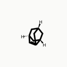 C1=C2C[C@@H]3C[C@H]1C[C@@H]2C3